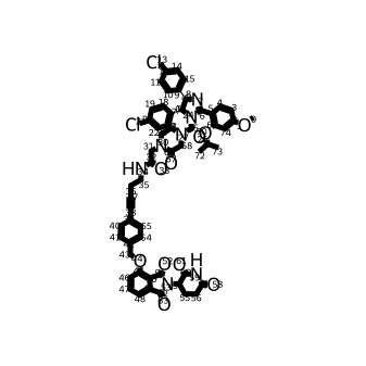 COc1ccc(C2=N[C@@H](c3ccc(Cl)cc3)[C@@H](c3ccc(Cl)cc3)N2C(=O)N2CCN(CC(=O)NCCC#Cc3ccc(COc4cccc5c4C(=O)N(C4CCC(=O)NC4=O)C5=O)cc3)C(=O)C2)c(OC(C)C)c1